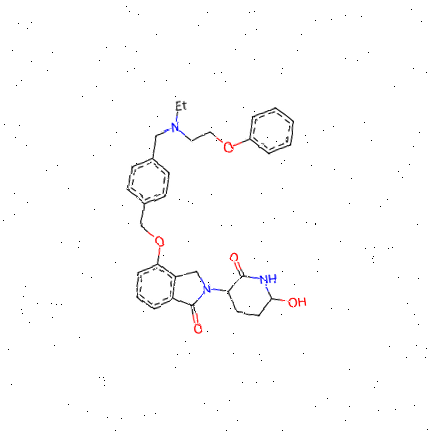 CCN(CCOc1ccccc1)Cc1ccc(COc2cccc3c2CN(C2CCC(O)NC2=O)C3=O)cc1